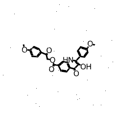 COc1ccc(C(=O)COC(=O)c2ccc3c(=O)c(O)c(-c4ccc(OC)cc4)[nH]c3c2)cc1